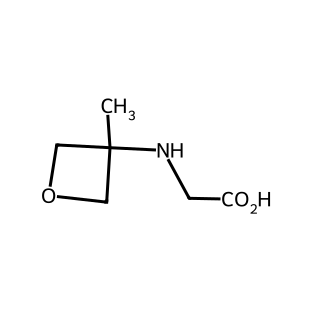 CC1(NCC(=O)O)COC1